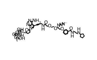 CP(O)OP(=O)(O)OP(=O)(O)OC[C@@H]1CC[C@H](n2cc(C#CCNC(=O)COCCOC(COc3cccc(C(=O)NCCNC4CCCC4)c3)N=[N+]=[N-])c3c(N)ncnc32)O1